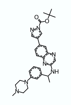 CC(Nc1cnc2cc(-c3cnn(C(=O)OC(C)(C)C)c3)ccc2n1)c1cccc(N2CCN(C)CC2)c1